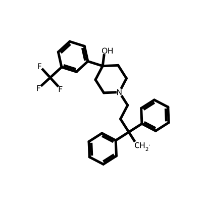 [CH2]C(CCN1CCC(O)(c2cccc(C(F)(F)F)c2)CC1)(c1ccccc1)c1ccccc1